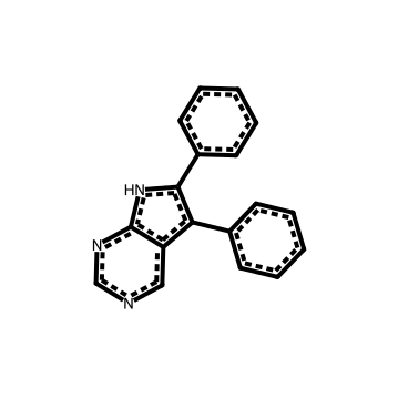 c1ccc(-c2[nH]c3ncncc3c2-c2ccccc2)cc1